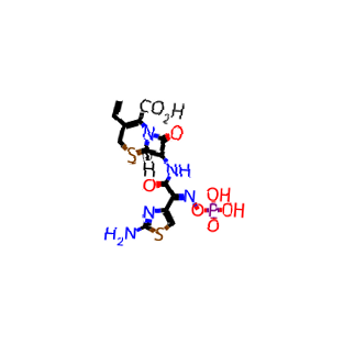 C=CC1=C(C(=O)O)N2C(=O)C(NC(=O)C(=NOP(=O)(O)O)c3csc(N)n3)[C@@H]2SC1